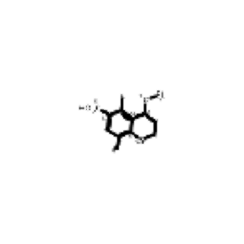 CCOC1CCSc2c(C)cc(C(=O)O)c(C)c21